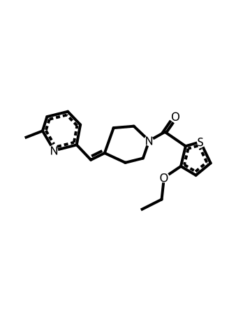 CCOc1ccsc1C(=O)N1CCC(=Cc2cccc(C)n2)CC1